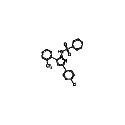 O=S(=O)(Nn1nc(-c2ccc(Cl)cc2)cc1-c1ccccc1C(F)(F)F)c1ccccc1